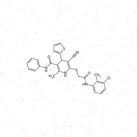 CC1=C(C(=O)Nc2ccccc2)C(c2cccs2)C(C#N)=C(SCC(=O)Nc2cccc(Cl)c2C)N1